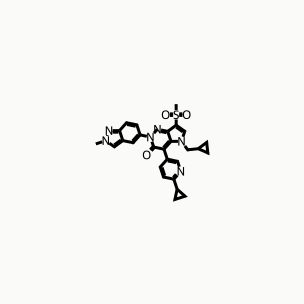 Cn1cc2cc(-n3nc4c(S(C)(=O)=O)cn(CC5CC5)c4c(-c4ccc(C5CC5)nc4)c3=O)ccc2n1